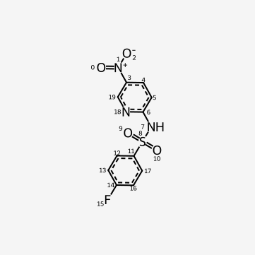 O=[N+]([O-])c1ccc(NS(=O)(=O)c2ccc(F)cc2)nc1